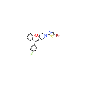 Fc1ccc(C2=CC3(CCN(c4ncc(Br)s4)CC3)Oc3ccccc32)cc1